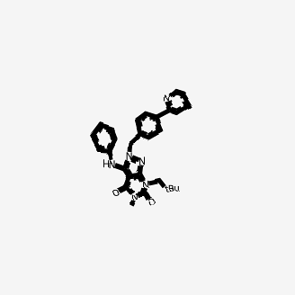 Cn1c(=O)c2c(Nc3ccccc3)n(Cc3ccc(-c4ccccn4)cc3)nc2n(CC(C)(C)C)c1=O